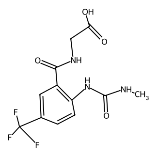 CNC(=O)Nc1ccc(C(F)(F)F)cc1C(=O)NCC(=O)O